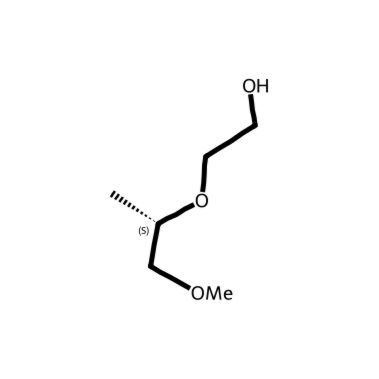 COC[C@H](C)OCCO